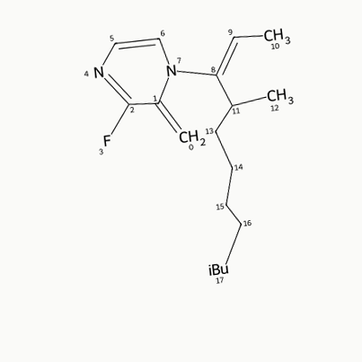 C=C1C(F)=NC=CN1C(=CC)C(C)CCCCC(C)CC